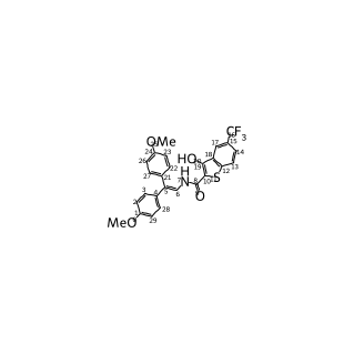 COc1ccc(C(=CNC(=O)c2sc3ccc(C(F)(F)F)cc3c2O)c2ccc(OC)cc2)cc1